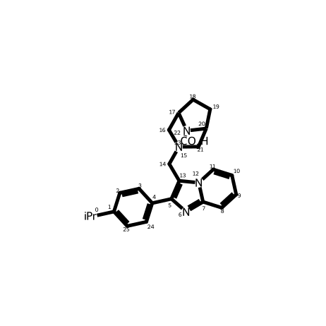 CC(C)c1ccc(-c2nc3ccccn3c2CN2CC3CCC(C2)N3C(=O)O)cc1